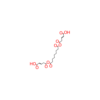 O=C(O)/C=C/CC(=O)OC(=O)CCCCCCCC(=O)OC(=O)C/C=C/C(=O)O